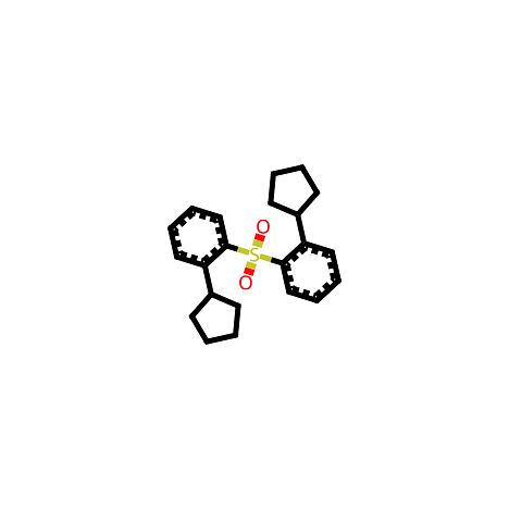 O=S(=O)(c1ccccc1C1CCCC1)c1ccccc1C1CCCC1